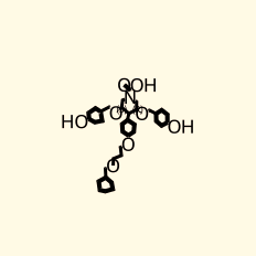 O=C(O)N1C[C@H](OCc2ccc(O)cc2)C(c2ccc(OCCCOCc3ccccc3)cc2)[C@H](OCc2ccc(O)cc2)C1